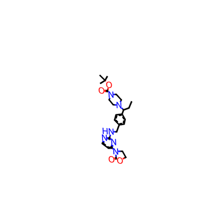 CCC(c1ccc(CNc2nccc(N3CCOC3=O)n2)cc1)N1CCN(C(=O)OC(C)(C)C)CC1